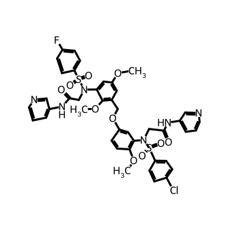 COc1cc(COc2ccc(OC)c(N(CC(=O)Nc3cccnc3)S(=O)(=O)c3ccc(Cl)cc3)c2)c(OC)c(N(CC(=O)Nc2cccnc2)S(=O)(=O)c2ccc(F)cc2)c1